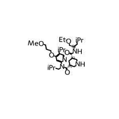 CCOC[C@@H](CC(C)C)NC(=O)[C@@H]1CNC[C@H](C(=O)N(CC(C)C)c2cc(OCCCOC)c(C(C)C)cn2)C1